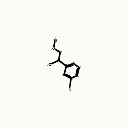 CCOCC([O])c1cccc(F)c1